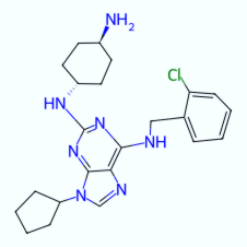 N[C@H]1CC[C@H](Nc2nc(NCc3ccccc3Cl)c3ncn(C4CCCC4)c3n2)CC1